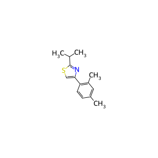 Cc1ccc(-c2csc(C(C)C)n2)c(C)c1